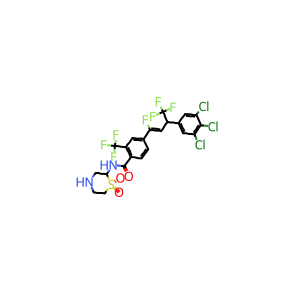 O=C(NC1CNCCS1(=O)=O)c1ccc(C(F)=CC(c2cc(Cl)c(Cl)c(Cl)c2)C(F)(F)F)cc1C(F)(F)F